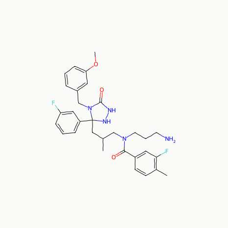 COc1cccc(CN2C(=O)NNC2(CC(C)CN(CCCN)C(=O)c2ccc(C)c(F)c2)c2cccc(F)c2)c1